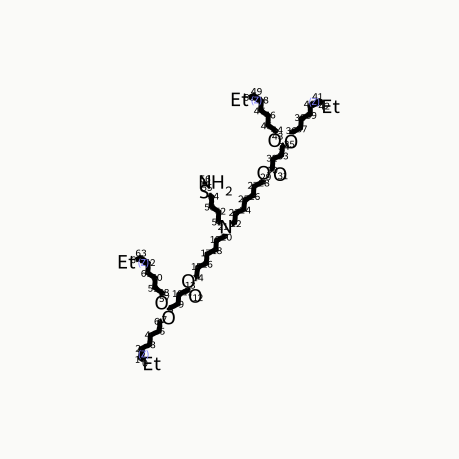 CC/C=C\CCCCOC(CCC(=O)OCCCCCCCN(CCCCCCCOC(=O)CCC(OCCCC/C=C\CC)OCCCC/C=C\CC)CCCCSN)OCCCC/C=C\CC